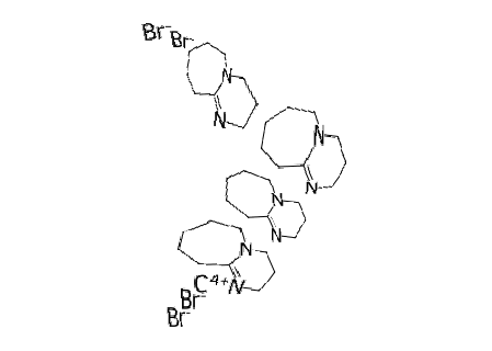 C1CCC2=NCCCN2CC1.C1CCC2=NCCCN2CC1.C1CCC2=NCCCN2CC1.C1CCC2=NCCCN2CC1.[Br-].[Br-].[Br-].[Br-].[C+4]